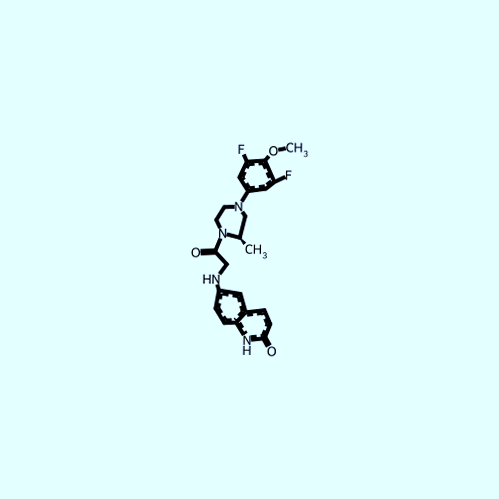 COc1c(F)cc(N2CCN(C(=O)CNc3ccc4[nH]c(=O)ccc4c3)[C@H](C)C2)cc1F